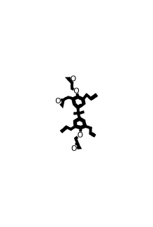 C=CCc1cc(C(C)(C)c2cc(CC=C)c(OCC3CO3)c(CC3CO3)c2)cc(CC=C)c1OCC1CO1